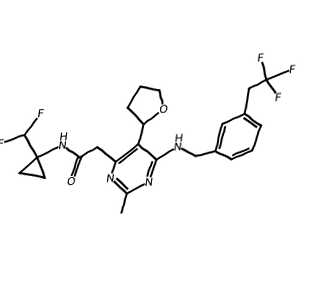 Cc1nc(CC(=O)NC2(C(F)F)CC2)c(C2CCCO2)c(NCc2cccc(CC(F)(F)F)c2)n1